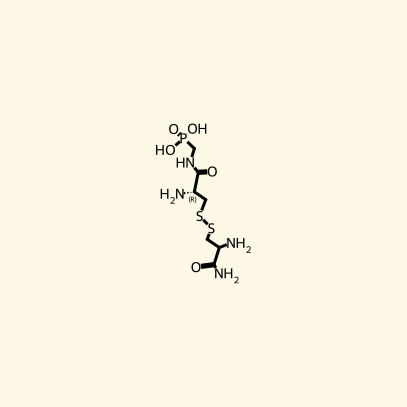 NC(=O)C(N)CSSC[C@H](N)C(=O)NCP(=O)(O)O